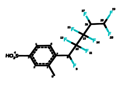 Cc1cc(S(=O)(=O)O)ccc1C(F)C(F)(F)C(F)(F)C(F)C(F)F